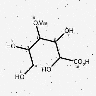 COC(C(O)CO)C(O)C(O)C(=O)O